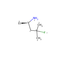 CC[C@@H](N)CC(C)(C)F